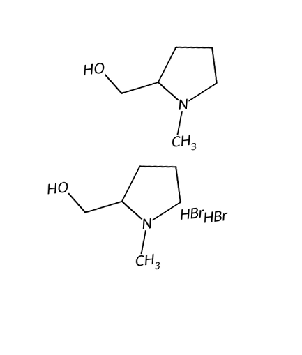 Br.Br.CN1CCCC1CO.CN1CCCC1CO